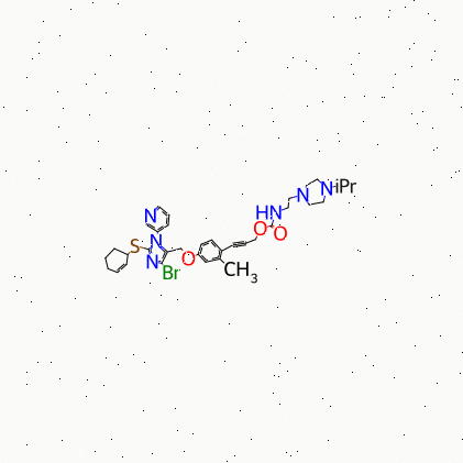 Cc1cc(OCc2c(Br)nc(SC3C=CCCC3)n2-c2cccnc2)ccc1C#CCOC(=O)NCCN1CCN(C(C)C)CC1